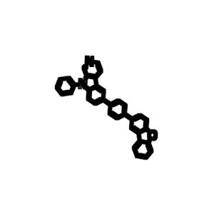 c1ccc(-n2c3ccc(-c4ccc(-c5ccc6oc7ccccc7c6c5)cc4)cc3c3ccncc32)cc1